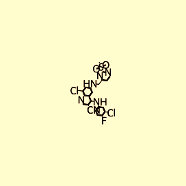 CS(=O)(=O)c1nccc(CNc2cc(Cl)c3ncc(C#N)c(Nc4ccc(F)c(Cl)c4)c3c2)n1